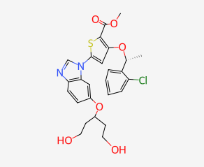 COC(=O)c1sc(-n2cnc3ccc(OC(CCO)CCO)cc32)cc1O[C@H](C)c1ccccc1Cl